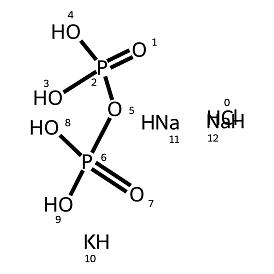 Cl.O=P(O)(O)OP(=O)(O)O.[KH].[NaH].[NaH]